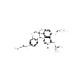 COCOc1ccc(C2(SC)COc3cc(OCOC)ccc3C2c2ccc(O[Si](C)(C)C(C)(C)C)cc2)cc1